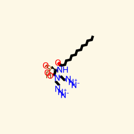 CCCCCCCCCCCCC(=O)N[C@H](C[SH](=O)=O)C(=O)N(CCN=[N+]=[N-])CCN=[N+]=[N-]